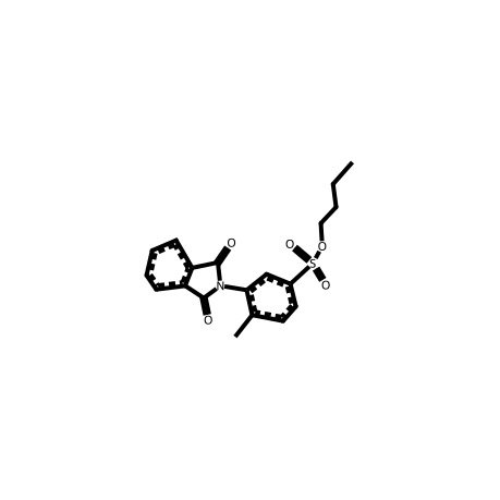 CCCCOS(=O)(=O)c1ccc(C)c(N2C(=O)c3ccccc3C2=O)c1